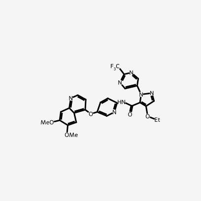 CCOc1cnn(-c2cnc(C(F)(F)F)nc2)c1C(=O)Nc1ccc(Oc2ccnc3cc(OC)c(OC)cc23)cn1